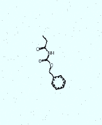 CCC(=O)NC(=O)OCc1ccccc1